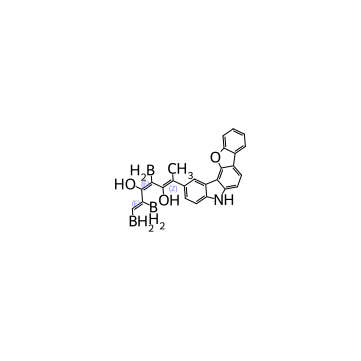 B/C=C(B)/C(O)=C(B)\C(O)=C(/C)c1ccc2[nH]c3ccc4c5ccccc5oc4c3c2c1